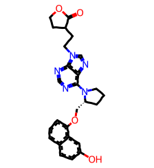 O=C1OCCC1CCn1cnc2c(N3CCC[C@@H]3COc3cccc4ccc(O)cc34)ncnc21